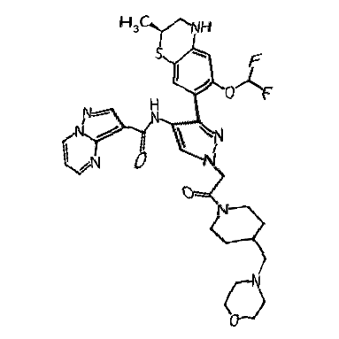 C[C@H]1CNc2cc(OC(F)F)c(-c3nn(CC(=O)N4CCC(CN5CCOCC5)CC4)cc3NC(=O)c3cnn4cccnc34)cc2S1